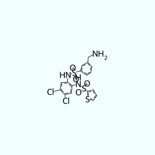 NCc1cccc(S(=O)(=O)Nc2cc(Cl)c(Cl)cc2NS(=O)(=O)c2cccs2)c1